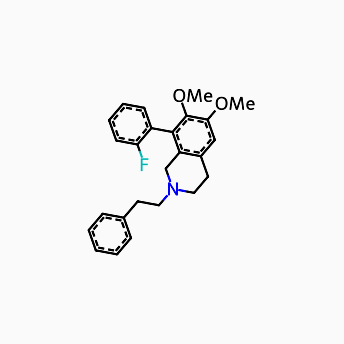 COc1cc2c(c(-c3ccccc3F)c1OC)CN(CCc1ccccc1)CC2